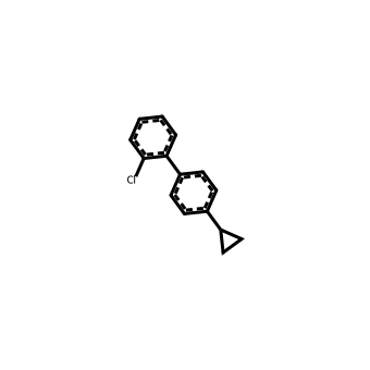 Clc1ccccc1-c1ccc(C2CC2)cc1